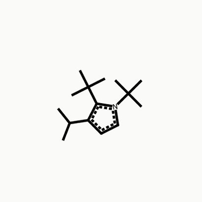 CC(C)c1ccn(C(C)(C)C)c1C(C)(C)C